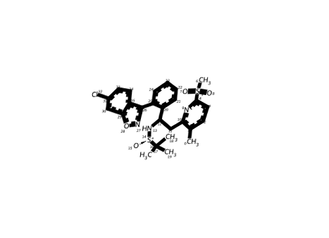 Cc1ccc(S(C)(=O)=O)nc1CC(N[S@@+]([O-])C(C)(C)C)c1ccccc1-c1noc2cc(Cl)ccc12